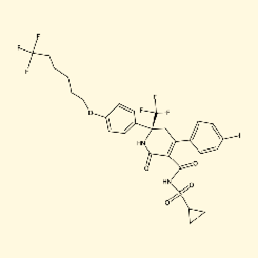 O=C1N[C@@](c2ccc(OCCCCCC(F)(F)F)cc2)(C(F)(F)F)CC(c2ccc(I)cc2)=C1C(=O)NS(=O)(=O)C1CC1